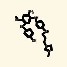 CNc1cc(N)c(Nc2ccc(NCCCn3cc[n+](C)c3)cc2)cc1Nc1ccc(O)cc1